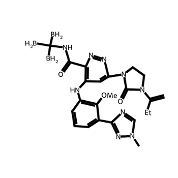 BC(B)(B)NC(=O)c1nnc(N2CCN(C(=C)CC)C2=O)cc1Nc1cccc(-c2ncn(C)n2)c1OC